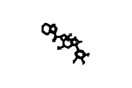 CCC1Cc2c(nn(C)c2-c2cc(F)c(F)c(F)c2)[C@H]2CC(C(=O)c3cnc4n3CCCC4)N12